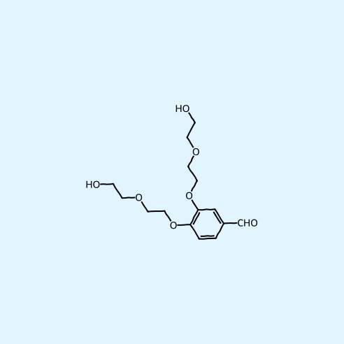 O=Cc1ccc(OCCOCCO)c(OCCOCCO)c1